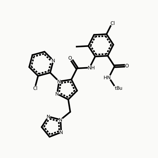 Cc1cc(Cl)cc(C(=O)NC(C)(C)C)c1NC(=O)c1cc(Cn2nccn2)nn1-c1ncccc1Cl